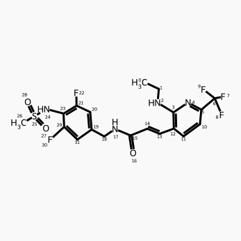 CCNc1nc(C(F)(F)F)ccc1C=CC(=O)NCc1cc(F)c(NS(C)(=O)=O)c(F)c1